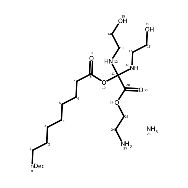 CCCCCCCCCCCCCCCCCC(=O)OC(NCCO)(NCCO)C(=O)OCCN.N